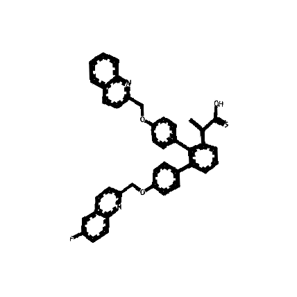 CC(C(O)=S)c1cccc(-c2ccc(OCc3ccc4cc(F)ccc4n3)cc2)c1-c1ccc(OCc2ccc3ccccc3n2)cc1